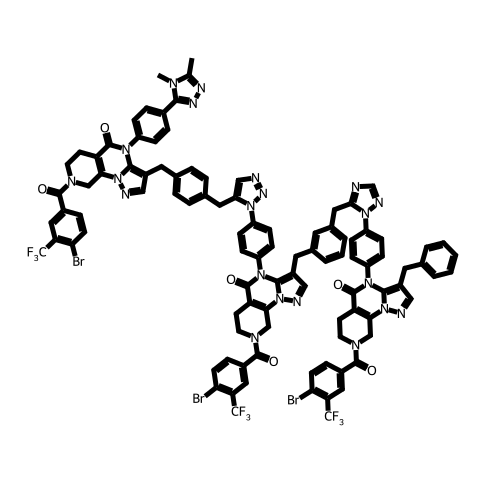 Cc1nnc(-c2ccc(-n3c(=O)c4c(n5ncc(Cc6ccc(Cc7cnnn7-c7ccc(-n8c(=O)c9c(n%10ncc(Cc%11cccc(Cc%12ncnn%12-c%12ccc(-n%13c(=O)c%14c(n%15ncc(Cc%16ccccc%16)c%13%15)CN(C(=O)c%13ccc(Br)c(C(F)(F)F)c%13)CC%14)cc%12)c%11)c8%10)CN(C(=O)c8ccc(Br)c(C(F)(F)F)c8)CC9)cc7)cc6)c35)CN(C(=O)c3ccc(Br)c(C(F)(F)F)c3)CC4)cc2)n1C